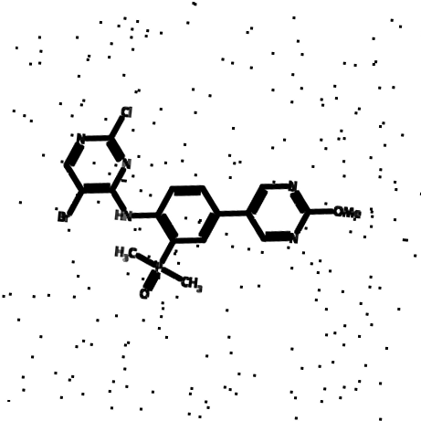 COc1ncc(-c2ccc(Nc3nc(Cl)ncc3Br)c(P(C)(C)=O)c2)cn1